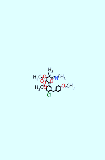 CCOc1ccc(Cc2cc([C@@H]3O[C@H](C=NC)[C@@H](C)[C@H](OC(C)=O)[C@H]3OC(C)=O)ccc2Cl)cc1